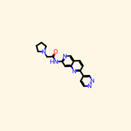 O=C(CN1CCCC1)Nc1cc2nc(-c3ccnnc3)ccc2cn1